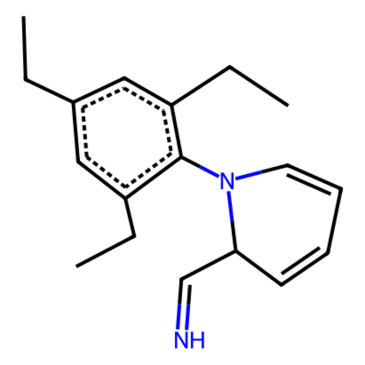 CCc1cc(CC)c(N2C=CC=CC2C=N)c(CC)c1